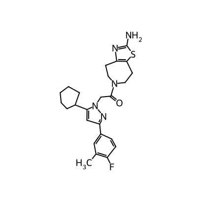 Cc1cc(-c2cc(C3CCCCC3)n(CC(=O)N3CCc4nc(N)sc4CC3)n2)ccc1F